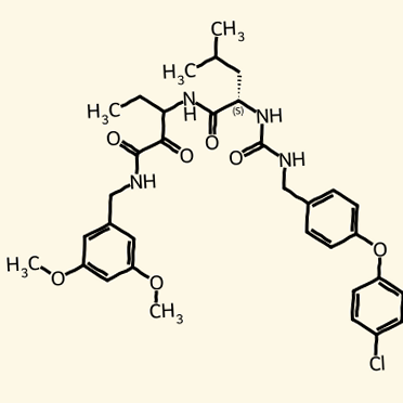 CCC(NC(=O)[C@H](CC(C)C)NC(=O)NCc1ccc(Oc2ccc(Cl)cc2)cc1)C(=O)C(=O)NCc1cc(OC)cc(OC)c1